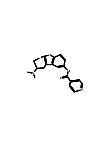 CN(C)C1CCc2oc3ccc(NC(=O)c4ccncc4)cc3c2C1